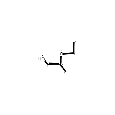 CCO/C(C)=C\O